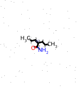 CC/C=C(/CCC)C(N)=O